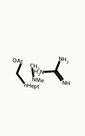 CCCCCCCCOC(C)=O.CNC.N=C(N)N